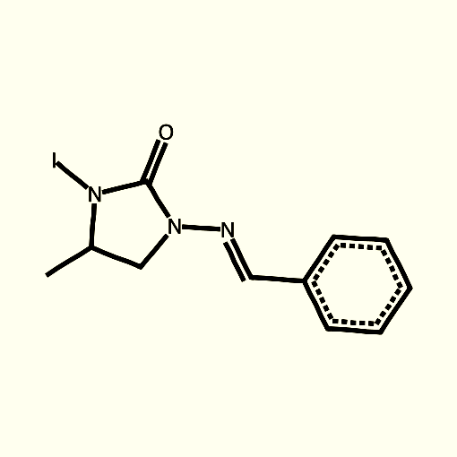 CC1CN(N=Cc2ccccc2)C(=O)N1I